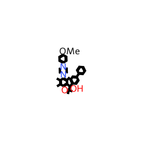 COc1ccc(N2CCN(c3c(C)c(C)c4c(c3C)C(O)(c3ccc(-c5ccccc5)cc3)C(C)(C)O4)CC2)cc1